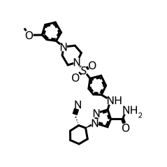 COc1cccc(N2CCN(S(=O)(=O)c3ccc(Nc4nn([C@H]5CCCC[C@@H]5C#N)cc4C(N)=O)cc3)CC2)c1